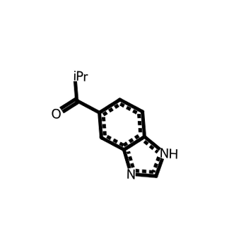 CC(C)C(=O)c1ccc2[nH]cnc2c1